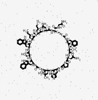 CCCC[C@H]1C(=O)N(C)[C@@H](CCCC)C(=O)N[C@@H](CC(N)=O)C(=O)N[C@H](C(=O)NCC(N)=O)CSCC(=O)N[C@@H](Cc2ccccc2)C(=O)N(C)[C@@H](C)C(=O)N[C@@H](CC(N)=O)C(=O)N2CCC[C@H]2C(=O)N[C@@H](Cc2cnc[nH]2)C(=O)N[C@@H](CC(C)C)C(=O)N(C)CC(=O)N[C@@H](Cc2c[nH]c3ccccc23)C(=O)N[C@@H](CO)C(=O)N[C@@H](Cc2c[nH]c3ccccc23)C(=O)N1C